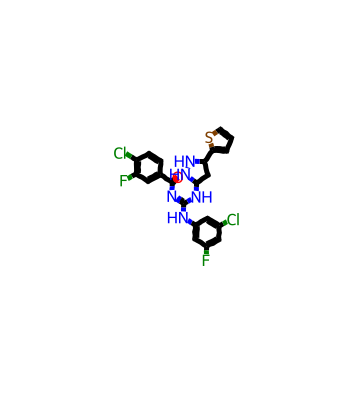 O=C(/N=C(/Nc1cc(F)cc(Cl)c1)NC1CC(c2cccs2)NN1)c1ccc(Cl)c(F)c1